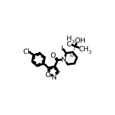 CC(C)(O)[C@@H]1CCCN(C(=O)c2cnoc2-c2ccc(Cl)cc2)C1I